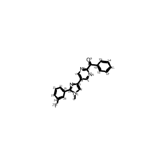 Cn1cc(-c2cnc(C(=O)c3ccccc3)nc2)nc1-c1cccc(F)c1